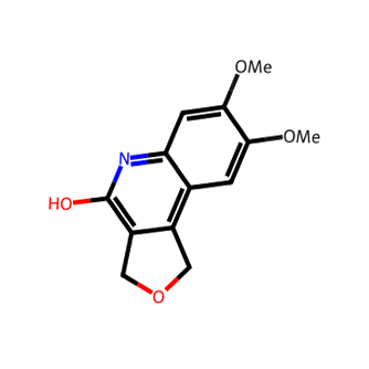 COc1cc2nc(O)c3c(c2cc1OC)COC3